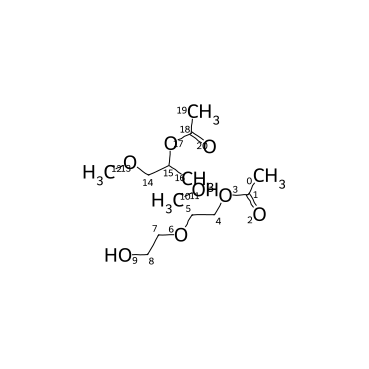 CC(=O)OCCOCCO.CO.COCC(C)OC(C)=O